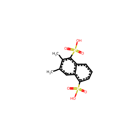 Cc1cc2c(S(=O)(=O)O)cccc2c(S(=O)(=O)O)c1C